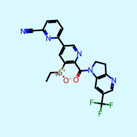 CC[S@+]([O-])c1cc(-c2cccc(C#N)n2)cnc1C(=O)N1CCc2ncc(C(F)(F)F)cc21